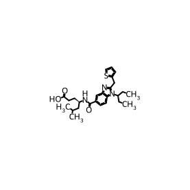 CCC(CC)n1c(Cc2cccs2)nc2cc(C(=O)N[C@H](CCC(=O)O)CC(C)C)ccc21